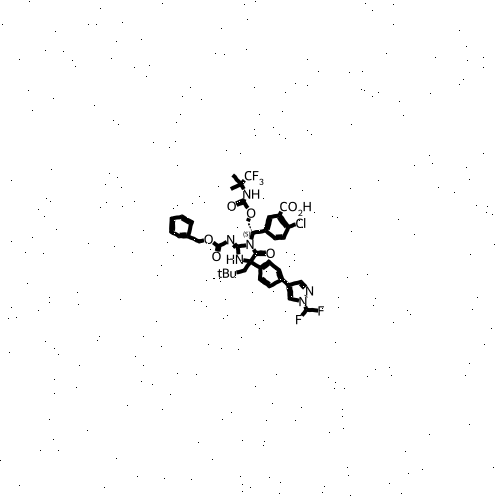 CC(C)(C)CC1(c2ccc(-c3cnn(C(F)F)c3)cc2)NC(=NC(=O)OCc2ccccc2)N([C@H](COC(=O)NC(C)(C)C(F)(F)F)c2ccc(Cl)c(C(=O)O)c2)C1=O